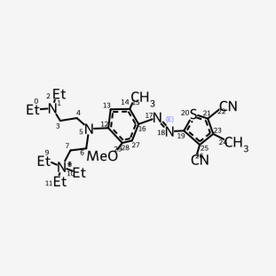 CCN(CC)CCN(CC[N+](CC)(CC)CC)c1cc(C)c(/N=N/c2sc(C#N)c(C)c2C#N)cc1OC